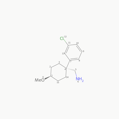 CO[C@H]1CC[C@@](CN)(c2cccc(Cl)c2)CC1